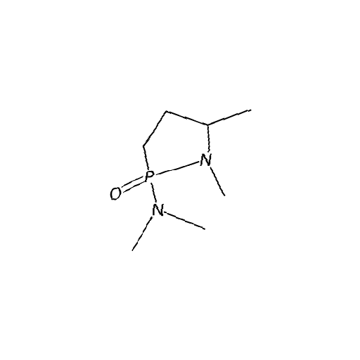 CC1CCP(=O)(N(C)C)N1C